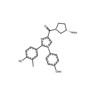 CN[C@H]1CCN(C(=O)c2cn(-c3ccc(OC)cc3)c(-c3ccc(C#N)c(F)c3)n2)C1